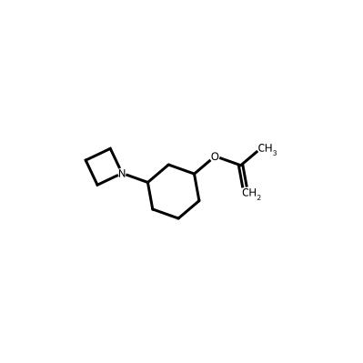 C=C(C)OC1CCCC(N2CCC2)C1